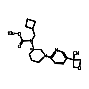 CC(C)(C)OC(=O)N(CC1CCC1)[C@@H]1CCCN(c2ccc(C3(C#N)COC3)cn2)C1